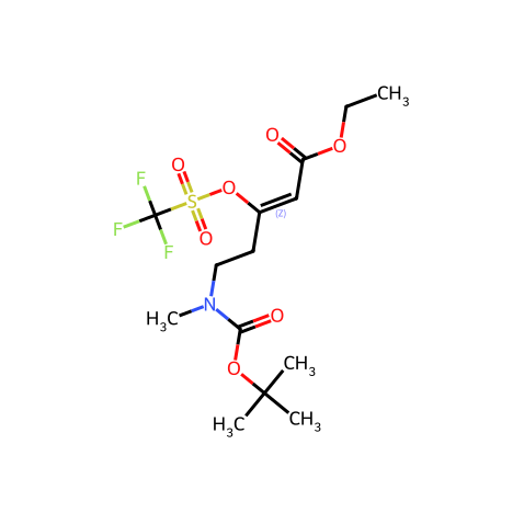 CCOC(=O)/C=C(/CCN(C)C(=O)OC(C)(C)C)OS(=O)(=O)C(F)(F)F